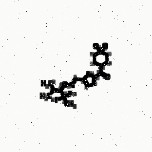 CC(C)=C(O/N=C/c1ccc(C(=O)N2CCS(=O)(=O)CC2)s1)C(C)(F)F